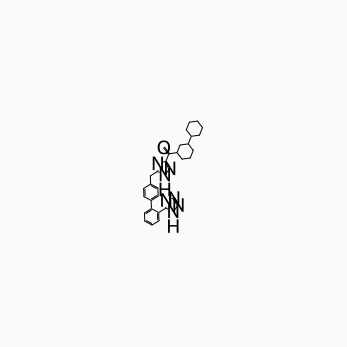 O=C(c1n[nH]c(Cc2ccc(-c3ccccc3-c3nnn[nH]3)cc2)n1)C1CCCC(C2CCCCC2)C1